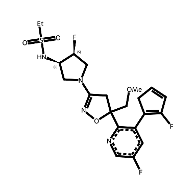 CCS(=O)(=O)N[C@@H]1CN(C2=NOC(COC)(c3ncc(F)cc3C3=C(F)C=CC3)C2)C[C@@H]1F